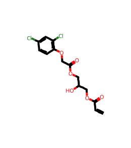 C=CC(=O)OCC(O)COC(=O)COc1ccc(Cl)cc1Cl